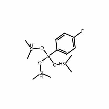 C[SiH](C)O[Si](O[SiH](C)C)(O[SiH](C)C)c1ccc(F)cc1